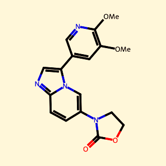 COc1cc(-c2cnc3ccc(N4CCOC4=O)cn23)cnc1OC